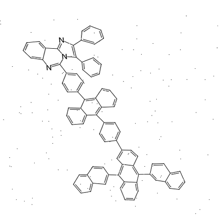 c1ccc(-c2nc3c4ccccc4nc(-c4ccc(-c5c6ccccc6c(-c6ccc(-c7ccc8c(-c9ccc%10ccccc%10c9)c9ccccc9c(-c9ccc%10ccccc%10c9)c8c7)cc6)c6ccccc56)cc4)n3c2-c2ccccc2)cc1